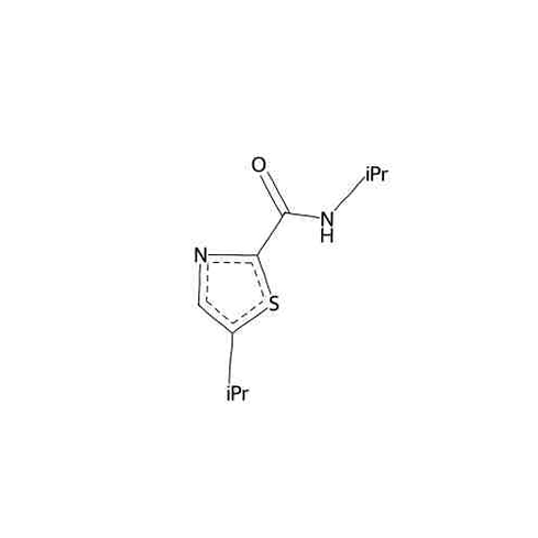 CC(C)NC(=O)c1ncc(C(C)C)s1